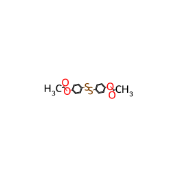 CC(=O)Oc1ccc(SSc2ccc(OC(C)=O)cc2)cc1